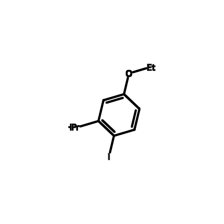 CCOc1ccc(I)c([C](C)C)c1